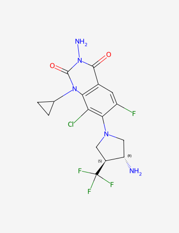 N[C@H]1CN(c2c(F)cc3c(=O)n(N)c(=O)n(C4CC4)c3c2Cl)C[C@@H]1C(F)(F)F